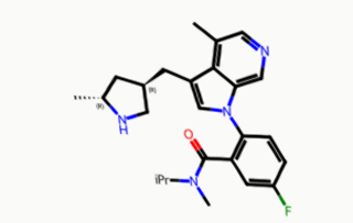 Cc1cncc2c1c(C[C@H]1CN[C@H](C)C1)cn2-c1ccc(F)cc1C(=O)N(C)C(C)C